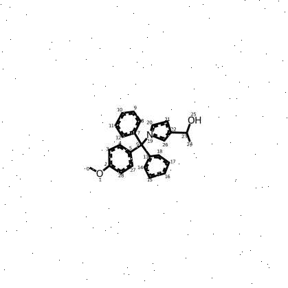 COc1ccc(C(c2ccccc2)(c2ccccc2)n2ccc(C(C)O)c2)cc1